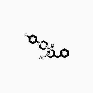 CC(=O)SCC(Cc1ccccc1)CS(=O)(=O)N1CCN(c2ccc(F)cc2)CC1